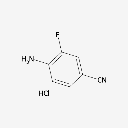 Cl.N#Cc1ccc(N)c(F)c1